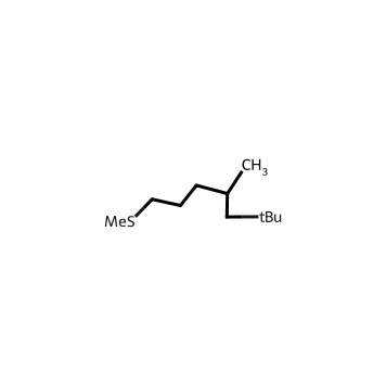 CSCCCC(C)CC(C)(C)C